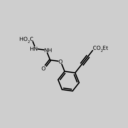 CCOC(=O)C#Cc1ccccc1OC(=O)NNC(=O)O